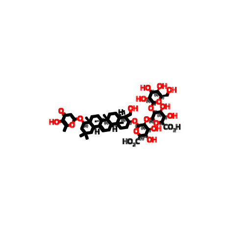 CC1=C(O)C(=O)CC(O[C@@H]2CC(C)(C)C[C@H]3C4=CC[C@@H]5[C@@]6(C)CC[C@H](O[C@@H]7O[C@H](C(=O)O)[C@@H](O)[C@H](O)[C@H]7O[C@@H]7O[C@H](C(=O)O)[C@@H](O)[C@H](O)[C@H]7O[C@@H]7O[C@H](CO)[C@@H](O)[C@H](O)[C@H]7O)[C@](C)(CO)[C@@H]6CC[C@@]5(C)[C@]4(C)CC[C@@]23C)O1